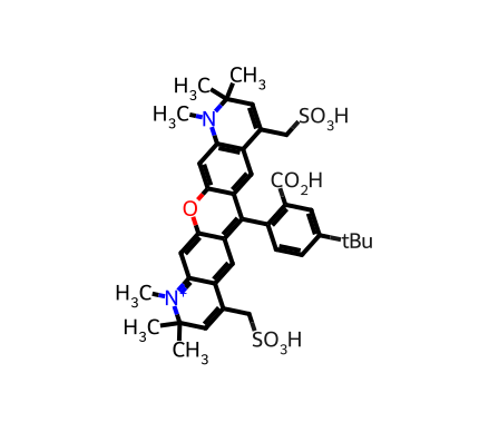 CN1c2cc3c(cc2C(CS(=O)(=O)O)=CC1(C)C)C(c1ccc(C(C)(C)C)cc1C(=O)O)=c1cc2c(cc1O3)=[N+](C)C(C)(C)C=C2CS(=O)(=O)O